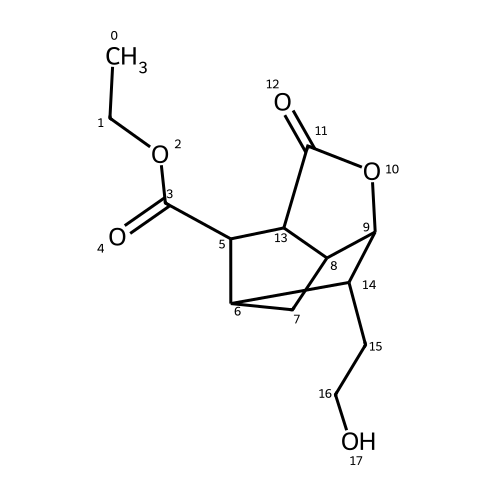 CCOC(=O)C1C2CC3C(OC(=O)C31)C2CCO